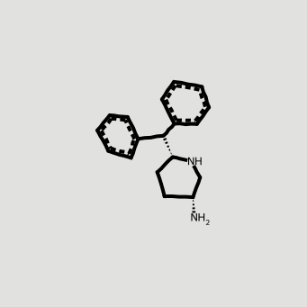 N[C@@H]1CC[C@H](C(c2ccccc2)c2ccccc2)NC1